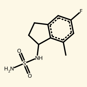 Cc1cc(F)cc2c1C(NS(N)(=O)=O)CC2